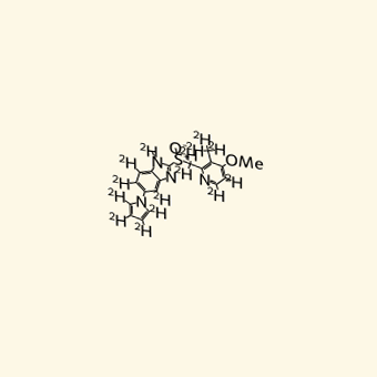 [2H]c1nc(C([2H])([2H])[S+]([O-])c2nc3c([2H])c(-n4c([2H])c([2H])c([2H])c4[2H])c([2H])c([2H])c3n2[2H])c(C([2H])([2H])[2H])c(OC)c1[2H]